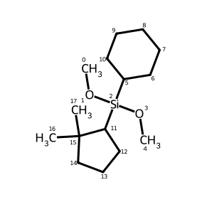 CO[Si](OC)(C1CCCCC1)C1CCCC1(C)C